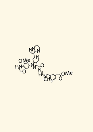 COC(=O)Cc1cccc(CN(C)CCNC(=O)c2nn(-c3cc4c(cc3OC)NCCO4)c3cc(-c4cnn5cccnc45)ncc23)c1